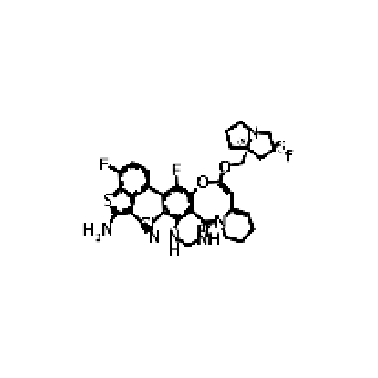 N#Cc1c(N)sc2c(F)ccc(-c3c(F)c4c5c(c3Cl)NCN[C@@H]5N3CCCC=C3C=C(OC[C@@]35CCCN3C[C@H](F)C5)O4)c12